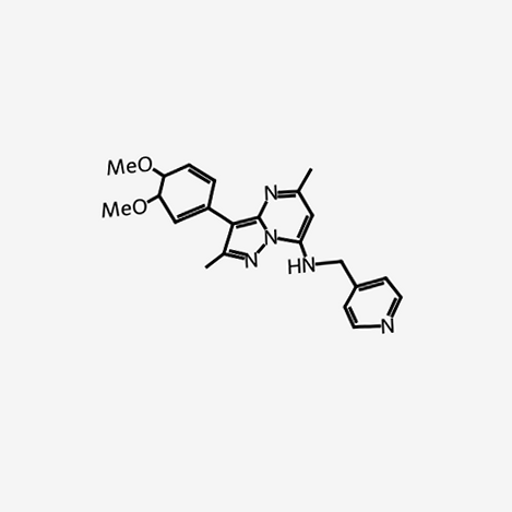 COC1C=CC(c2c(C)nn3c(NCc4ccncc4)cc(C)nc23)=CC1OC